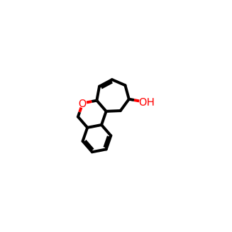 OC1CC=CC2OCC3C=CC=CC3C2C1